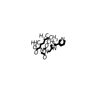 C[C@@H](CCC(C)(C)C)[C@@H](C(=O)O)N1CC(=O)N(Cc2csc(-c3cccnc3)n2)C1=O